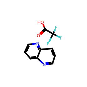 O=C(O)C(F)(F)F.c1cnc2cccnc2c1